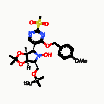 COc1ccc(COc2nc(S(C)(=O)=O)ncc2[C@@H]2N(O)[C@H](CO[Si](C)(C)C(C)(C)C)[C@H]3OC(C)(C)O[C@]32C)cc1